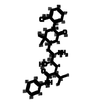 CC(C)[C@H](C[C@H](O)[C@@H](N)CN1CC(=O)N(c2ccccc2Cl)CC1(C)C)C(=O)Nc1ccccc1